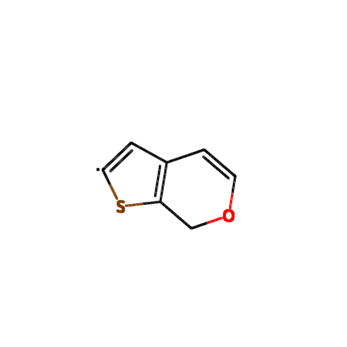 [c]1cc2c(s1)COC=C2